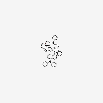 c1ccc(N(c2ccccc2)c2ccc3c(c2)C2(c4ccccc4-3)c3ccc4c(oc5ccccc54)c3-c3ccc(N(c4ccccc4)c4ccccc4)c4cccc2c34)cc1